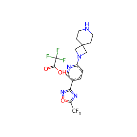 FC(F)(F)c1nc(-c2ccc(N3CC4(CCNCC4)C3)nc2)no1.O=C(O)C(F)(F)F